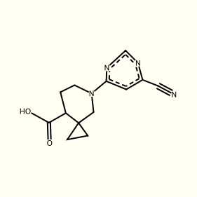 N#Cc1cc(N2CCC(C(=O)O)C3(CC3)C2)ncn1